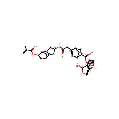 C=C(C)C(=O)OC1CC2CC1C1CC(OC(=O)CC3=CC4CC3CC4C(=O)Oc3c4c5oc3cc5C(O)O4)CC21